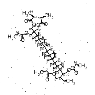 C=CC(=O)OCC(C=C)C(COC(=O)C=C)C(F)(F)C(F)(F)C(F)(F)C(F)(F)C(F)(F)C(F)(F)C(F)(F)C(F)(F)C(F)(F)C(F)(F)C(COC(=O)C=C)(COC(=O)C=C)COC(=O)C=C